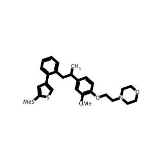 COc1cc(C(C)Cc2ccccc2-c2csc(SC)c2)ccc1OCCN1CCOCC1